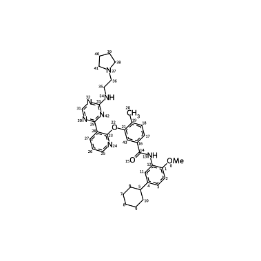 COc1ccc(C2CCCCC2)cc1NC(=O)c1ccc(C)c(Oc2ncccc2-c2ncnc(NCCN3CCCC3)n2)c1